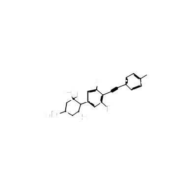 [2H]C1CC(CCC)CC([2H])([2H])C1c1cc(F)c(C#Cc2ccc(C)cc2)c(F)c1